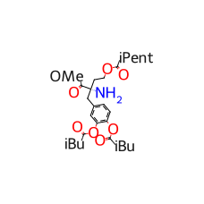 CCCC(C)C(=O)OCC[C@@](N)(Cc1ccc(OC(=O)C(C)CC)c(OC(=O)C(C)CC)c1)C(=O)OC